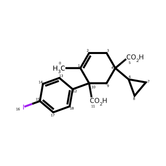 CC1=CCC(C(=O)O)(C2CC2)CC1(C(=O)O)c1ccc(I)cc1